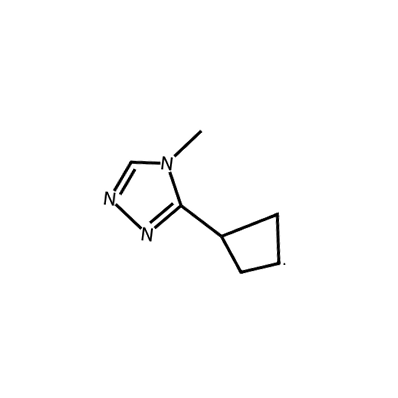 Cn1cnnc1C1C[CH]C1